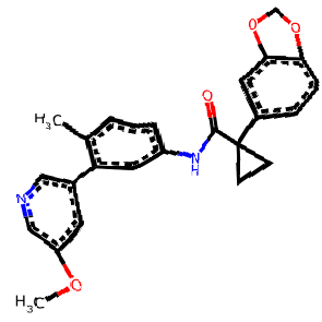 COc1cncc(-c2cc(NC(=O)C3(c4ccc5c(c4)OCO5)CC3)ccc2C)c1